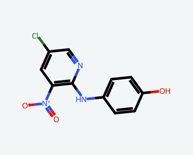 O=[N+]([O-])c1cc(Cl)cnc1Nc1ccc(O)cc1